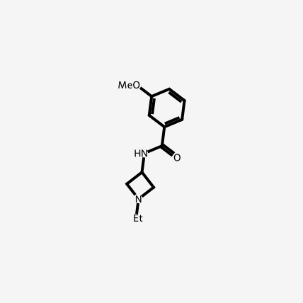 CCN1CC(NC(=O)c2cccc(OC)c2)C1